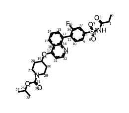 CCC(=O)NS(=O)(=O)c1ccc(-c2cccc3c(OC4CCN(C(=O)OC(C)C)CC4)ccnc23)c(F)c1